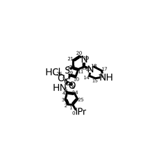 CC(C)c1ccc(NS(=O)(=O)c2cc3c(N4CCNCC4)nccc3s2)cc1.Cl